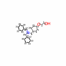 OCCOC1CCC(CN(Cc2ccccc2)Cc2ccccc2)CC1